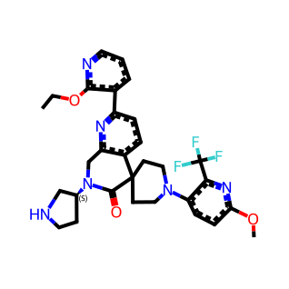 CCOc1ncccc1-c1ccc2c(n1)CN([C@H]1CCNC1)C(=O)C21CCN(c2ccc(OC)nc2C(F)(F)F)CC1